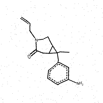 C=CCN1CC2C(C1=O)C2(C)c1cccc(N)c1